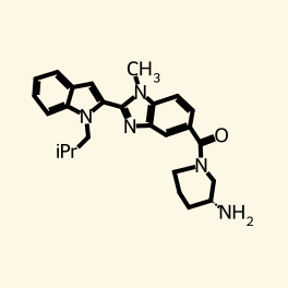 CC(C)Cn1c(-c2nc3cc(C(=O)N4CCC[C@@H](N)C4)ccc3n2C)cc2ccccc21